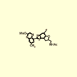 COc1cnc2c(-c3nc4cc(F)c5c(c4s3)CC(CNC(C)=O)O5)cc(C)cc2n1